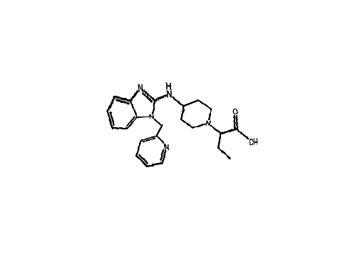 CCC(C(=O)O)N1CCC(Nc2nc3ccccc3n2Cc2ccccn2)CC1